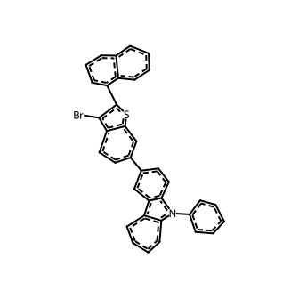 Brc1c(-c2cccc3ccccc23)sc2cc(-c3ccc4c(c3)c3ccccc3n4-c3ccccc3)ccc12